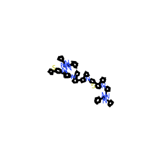 c1ccc(-c2nc(-c3ccccc3)nc(-c3cccc(-n4c5ccccc5c5c6c(ccc54)sc4cc(-n5c7ccccc7c7cc(-c8cccc9c8c8ccccc8n9-c8ccc9c%10cc%11c(cc%10n(-c%10nc(-c%12ccccc%12)nc(-c%12ccccc%12)n%10)c9c8)sc8ccccc8%11)ccc75)ccc46)c3)n2)cc1